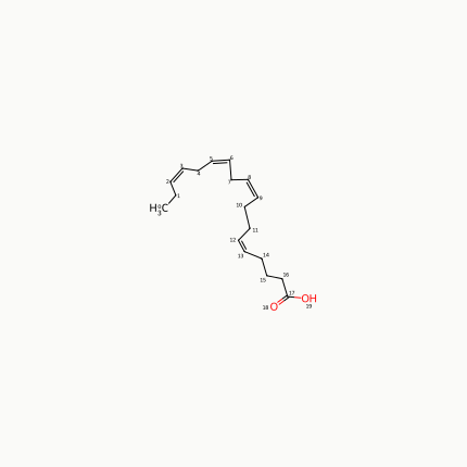 CC/C=C\C/C=C\C/C=C\CC/C=C\CCCC(=O)O